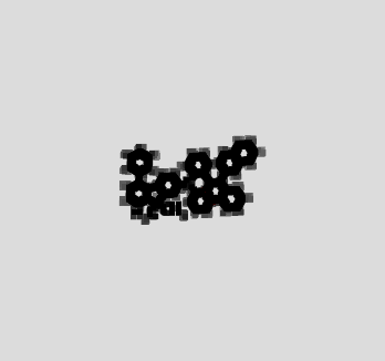 CC1(C)c2cc(N(c3ccccc3)c3ccccc3-c3ccc4ccccc4c3-c3ccc4ccccc4c3)ccc2-c2c(-c3ccccc3)cccc21